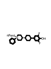 CCCCC[Si@]1(c2ccccc2)CC[C@H](C2CCC(c3cc(F)c(O)c(F)c3)CC2)CC1